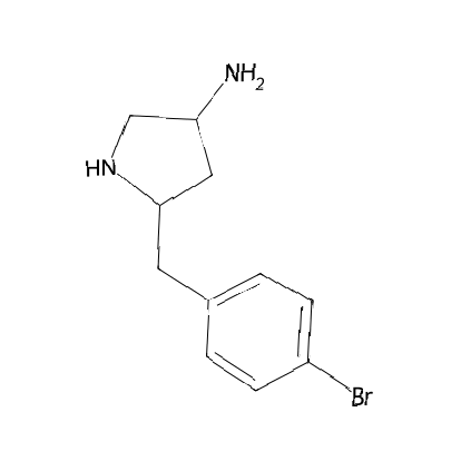 NC1CNC(Cc2ccc(Br)cc2)C1